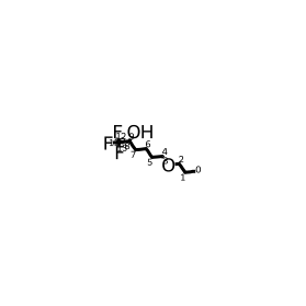 CCCOCCCCC(O)C(F)(F)F